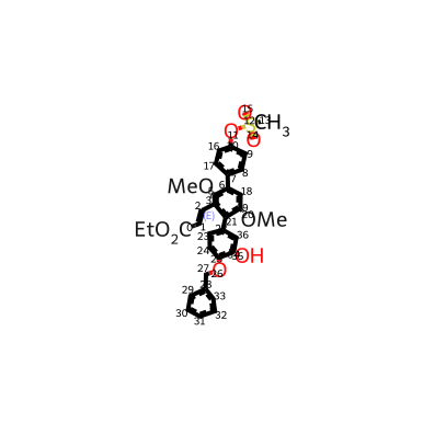 CCOC(=O)/C=C/c1c(OC)c(-c2ccc(OS(C)(=O)=O)cc2)cc(OC)c1-c1ccc(OCc2ccccc2)c(O)c1